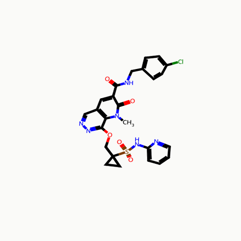 Cn1c(=O)c(C(=O)NCc2ccc(Cl)cc2)cc2cnnc(OCC3(S(=O)(=O)Nc4ccccn4)CC3)c21